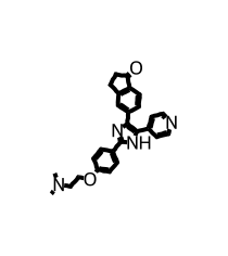 CN(C)CCOc1ccc(-c2nc(-c3ccc4c(c3)CCC4=O)c(-c3ccncc3)[nH]2)cc1